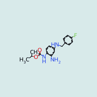 CC(C)OC(=O)Nc1ccc(NCc2ccc(F)cc2)cc1N